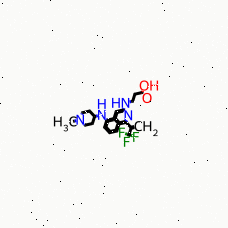 C=C(c1nc(NCCC(=O)O)cc2c(NC3CCN(C)CC3)cccc12)C(F)(F)F